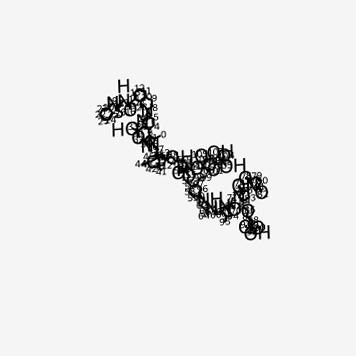 Cc1c(-c2ccc(N3CCc4cccc(C(=O)Nc5nc6ccccc6s5)c4C3)nc2C(=O)O)cnn1CC12CC3(C)CC(C)(C1)CC(OCCN(C)C(=O)OCc1ccc(NC[C@H](C)NC[C@@H](NC(=O)CN4C(=O)[C@@H](N5C(=O)C=CC5=O)C[C@H]4COCCS(=O)(=O)O)C(C)C)cc1CC[C@@H]1O[C@H](C(=O)O)[C@@H](O)[C@H](O)[C@H]1O)(C3)C2